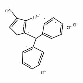 CCCC1=CCC(C(c2ccccc2)c2ccccc2)=[C]1[Ti+3].[Cl-].[Cl-].[Cl-]